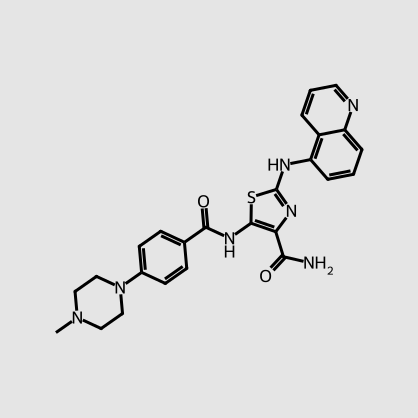 CN1CCN(c2ccc(C(=O)Nc3sc(Nc4cccc5ncccc45)nc3C(N)=O)cc2)CC1